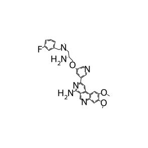 COc1cc2ncc3c(N)nc(-c4cncc(OC[C@H](N)CN(C)Cc5cccc(F)c5)c4)cc3c2cc1OC